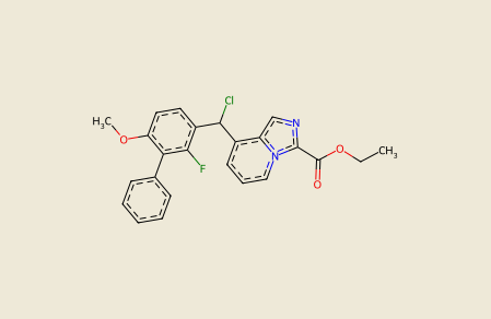 CCOC(=O)c1ncc2c(C(Cl)c3ccc(OC)c(-c4ccccc4)c3F)cccn12